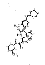 Cc1cc(OC2CCCCC2)ccc1N1C(=O)Nc2c(C(=O)NC3CCCN(C)C3)sc3nccc1c23